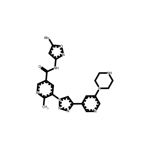 Cc1ncc(C(=O)Nc2cc(C(C)(C)C)on2)cc1-n1cc(-c2cncc(N3CCNCC3)c2)nn1